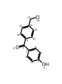 O=C(c1ccc(O)cc1)c1ccc(CCl)cc1